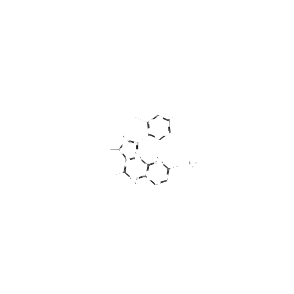 COc1ccc2nc(C)c3c(C)nc(-c4ccc(C(F)(F)F)cc4Cl)n3c2n1